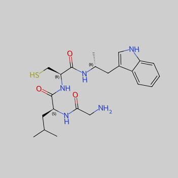 CC(C)C[C@H](NC(=O)CN)C(=O)N[C@@H](CS)C(=O)N[C@H](C)Cc1c[nH]c2ccccc12